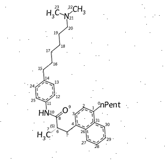 CCCCCc1ccc(C[C@H](C)C(=O)Nc2ccc(CCCCCCN(C)C)cc2)c2ccccc12